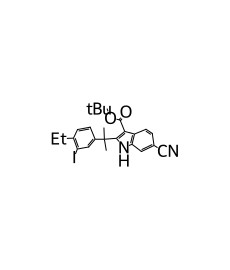 CCc1ccc(C(C)(C)c2[nH]c3cc(C#N)ccc3c2C(=O)OC(C)(C)C)cc1I